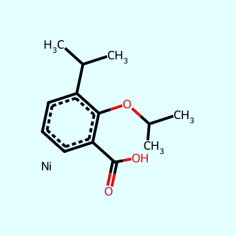 CC(C)Oc1c(C(=O)O)cccc1C(C)C.[Ni]